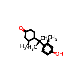 Cc1cc(O)ccc1C(C)(C)C1CCC(=O)CC1C